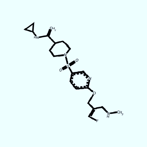 C=C(NC1CC1)C1CCN(S(=O)(=O)c2ccc(OC/C(=C/F)CNC)nc2)CC1